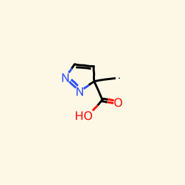 [CH2]C1(C(=O)O)C=CN=N1